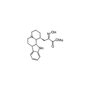 COC(=O)C(C[C@@H]1CCCN2CCC3c4ccccc4NC3C12)=NO